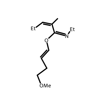 CC/C=C(C)\C(=N/CC)O/C=C/CCOC